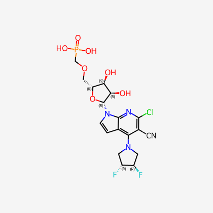 N#Cc1c(Cl)nc2c(ccn2[C@@H]2O[C@H](COCP(=O)(O)O)[C@@H](O)[C@H]2O)c1N1C[C@@H](F)[C@H](F)C1